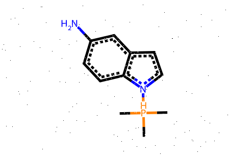 C[PH](C)(C)n1ccc2cc(N)ccc21